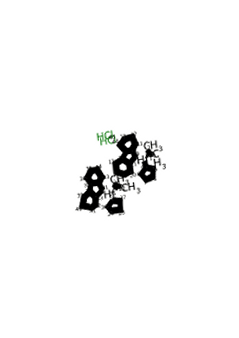 C[C](C)=[Hf]([C]1=CC=CC1)[CH]1c2ccccc2-c2ccccc21.C[C](C)=[Hf]([C]1=CC=CC1)[CH]1c2ccccc2-c2ccccc21.Cl.Cl